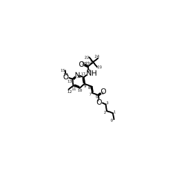 CCCCOC(=O)/C=C/c1cc(C)c(OC)nc1NC(=O)C(C)(C)C